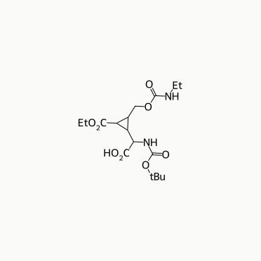 CCNC(=O)OCC1C(C(=O)OCC)C1C(NC(=O)OC(C)(C)C)C(=O)O